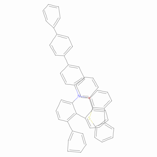 c1ccc(-c2ccc(-c3ccc(N(c4cccc(-c5ccccc5)c4-c4ccccc4-c4ccccc4)c4cccc5c4sc4ccccc45)cc3)cc2)cc1